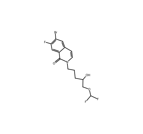 O=c1c2cc(F)c(Br)cc2ccn1CCCC(O)COC(F)F